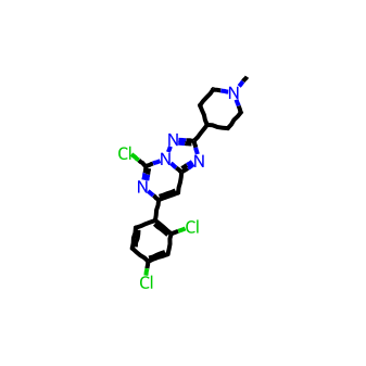 CN1CCC(c2nc3cc(-c4ccc(Cl)cc4Cl)nc(Cl)n3n2)CC1